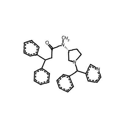 CN(C(=O)CC(c1ccccc1)c1ccccc1)[C@@H]1CCN(C(c2ccccc2)c2cccnc2)C1